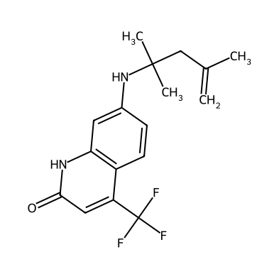 C=C(C)CC(C)(C)Nc1ccc2c(C(F)(F)F)cc(=O)[nH]c2c1